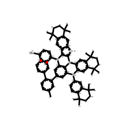 Cc1ccc(-c2ccccc2)c(-c2cc3c4c(c2)N(c2ccc(C(C)(C)C)cc2)c2c(oc5cc6c(cc25)C(C)(C)CCC6(C)C)B4c2cc4c(cc2N3c2ccc3c(c2)C(C)(C)CCC3(C)C)C(C)(C)CCC4(C)C)c1